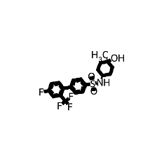 C[C@]1(O)CC[C@@H](NS(=O)(=O)c2ccc(-c3ccc(F)cc3C(F)(F)F)cc2)CC1